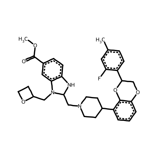 COC(=O)c1ccc2c(c1)N(CC1CCO1)C(CN1CCC(c3cccc4c3OC(c3ccc(C)cc3F)CO4)CC1)N2